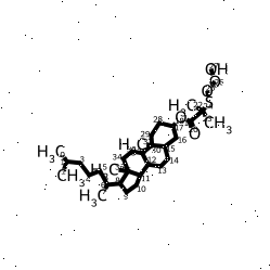 CC(C)CCCC(C)C1CCC2C3CCC4CC(OC(=O)C(C)(C)SOOO)CCC4(C)C3CCC12C